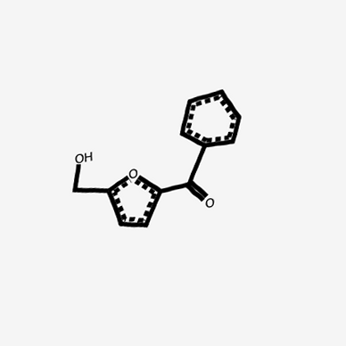 O=C(c1ccccc1)c1ccc(CO)o1